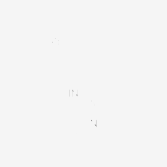 CCN(CC)SNCCOC